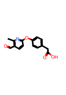 Cc1nc(Oc2ccc(CC(=O)O)cc2)ccc1C=O